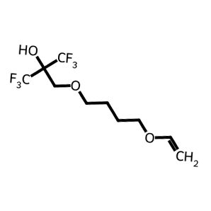 C=COCCCCOCC(O)(C(F)(F)F)C(F)(F)F